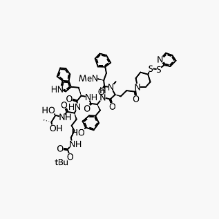 CN[C@@H](Cc1ccccc1)C(=O)N(C)[C@@H](CCC(=O)N1CCC(SSc2ccccn2)CC1)C(=O)N[C@@H](Cc1ccc(O)cc1)C(=O)N[C@H](Cc1c[nH]c2ccccc12)C(=O)N[C@@H](CCCCNC(=O)OC(C)(C)C)C(=O)N[C@H](O)[C@@H](C)O